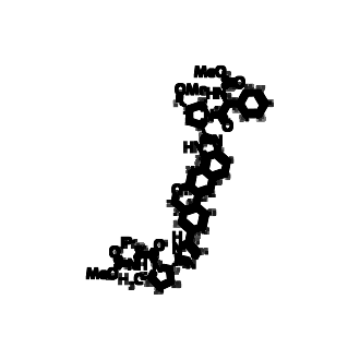 COC[C@H]1C[C@@H](c2nc3ccc4cc5c(cc4c3[nH]2)OCc2cc(-c3cnc([C@@H]4CC[C@H](C)N4C(=O)[C@@H](NC(=O)OC)C(C)C)[nH]3)ccc2-5)N(C(=O)[C@H](NC(=O)OC)C2C=CC=CC2)C1